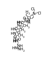 Cc1c(NC(=O)c2[nH]cc(NC(=O)c3[nH]cc(NC(=O)c4[nH]c5ccc(N(CCCl)CCCl)cc5c4C)c3C)c2C)c[nH]c1C(=O)NCCNC(=N)N